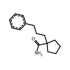 NC(=O)C1(CCCc2ccccc2)CCCC1